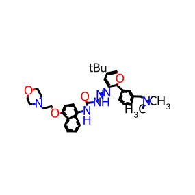 CN(C)Cc1cccc(C2OC=C(C(C)(C)C)C=C2N=NNC(=O)Nc2ccc(OCCN3CCOCC3)c3ccccc23)c1